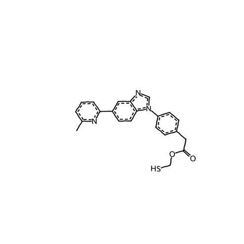 Cc1cccc(-c2ccc3c(c2)ncn3-c2ccc(CC(=O)OCS)cc2)n1